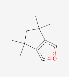 CC1(C)CC(C)(C)c2cocc21